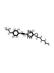 CCCCCCOc1cnc(C#Cc2ccc(CCC)cc2)nc1